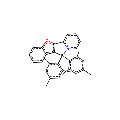 Cc1cc(C)c([B-]2(c3c(C)cc(C)cc3C)c3c(oc4ccccc34)-c3cccc[n+]32)c(C)c1